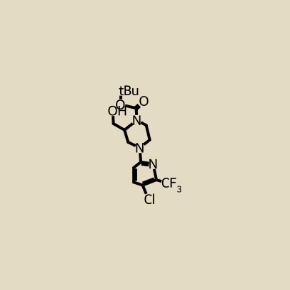 CC(C)(C)OC(=O)N1CCN(c2ccc(Cl)c(C(F)(F)F)n2)CC1CO